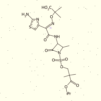 CC(C)OC(=O)C(C)(C)COS(=O)(=O)N1C(=O)C(NC(=O)/C(=N/OC(C)(C)C(=O)O)c2csc(N)n2)C1C